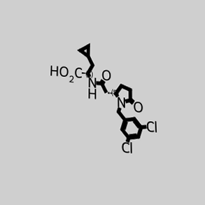 O=C(C[C@@H]1CCC(=O)N1Cc1cc(Cl)cc(Cl)c1)N[C@@H](CC1CC1)C(=O)O